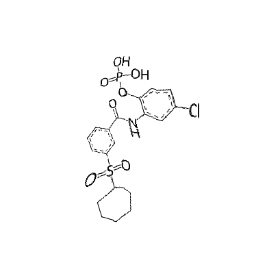 O=C(Nc1cc(Cl)ccc1OP(=O)(O)O)c1cccc(S(=O)(=O)C2CCCCC2)c1